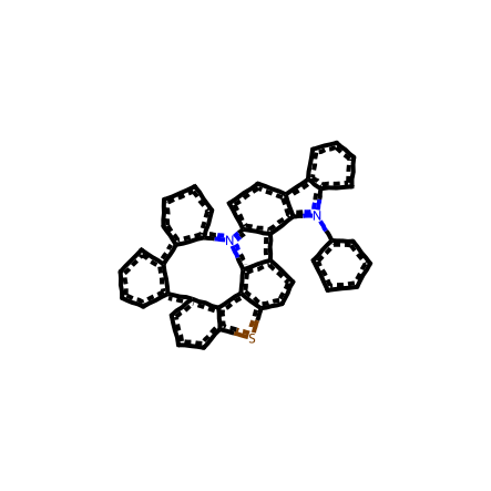 c1ccc(-n2c3ccccc3c3ccc4c(c5ccc6sc7cccc8c9ccccc9c9ccccc9n4c5c6c78)c32)cc1